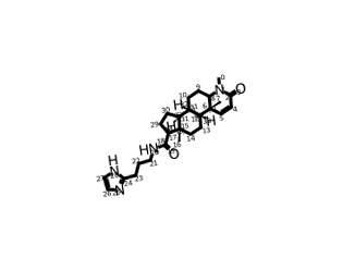 CN1C(=O)C=C[C@@]2(C)C1CC[C@@H]1[C@H]2CC[C@]2(C)C(C(=O)NCCCc3ncc[nH]3)CC[C@@H]12